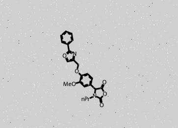 CCCN1C(=O)OC(=O)C1c1ccc(OCc2coc(-c3ccccc3)n2)c(OC)c1